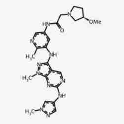 CO[C@@H]1CCN(CC(=O)Nc2cnc(C)c(Nc3nn(C)c4nc(Nc5cnn(C)c5)ncc34)c2)C1